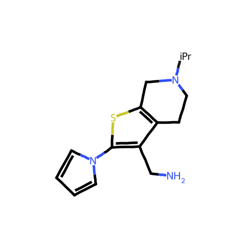 CC(C)N1CCc2c(sc(-n3cccc3)c2CN)C1